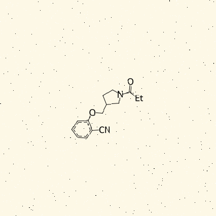 CCC(=O)N1CCC(COc2ccccc2C#N)C1